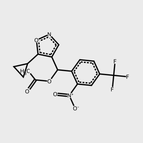 CC(=O)OC(c1ccc(C(F)(F)F)cc1[N+](=O)[O-])c1cnoc1C1CC1